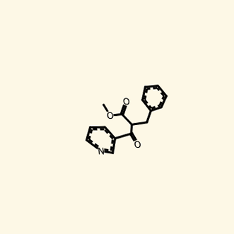 COC(=O)C(Cc1ccccc1)C(=O)c1cccnc1